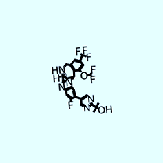 CC(C)(O)c1ncc(-c2cc3c(cc2F)nc2n3C3C[C@H]2NCc2cc(C(F)(F)F)cc(OC(F)F)c23)cn1